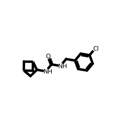 O=C(NCc1cccc(Cl)c1)NC1CC2CC1C2